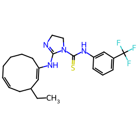 CCC1C=C(NC2=NCCN2C(=S)Nc2cccc(C(F)(F)F)c2)CCCCC=CC1